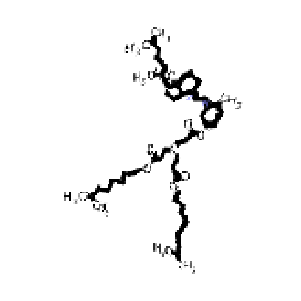 CC(C)CCCCCCCOC(=O)CCN(CCC(=O)OCCCCCCCC(C)C)CCC(=O)O[C@H]1CCC(C)/C(=C/C=C2\CCC[C@@]3(C)C2CC[C@@H]3[C@H](C)CCCC(C)C)C1